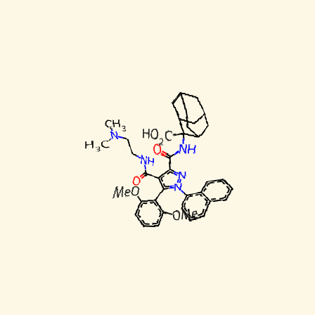 COc1cccc(OC)c1-c1c(C(=O)NCCN(C)C)c(C(=O)NC2(C(=O)O)C3CC4CC(C3)CC2C4)nn1-c1cccc2ccccc12